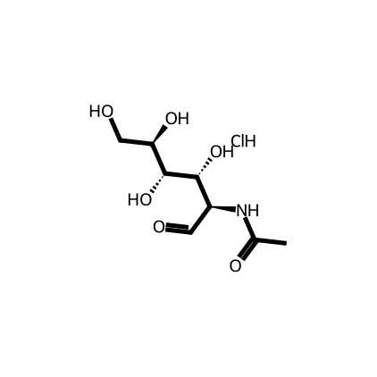 CC(=O)N[C@@H](C=O)[C@@H](O)[C@H](O)[C@H](O)CO.Cl